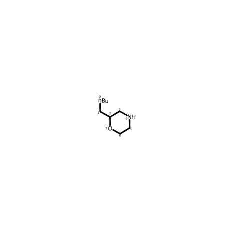 CCCC[CH]C1CNCCO1